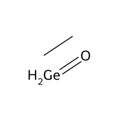 CC.[O]=[GeH2]